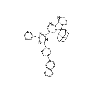 c1ccc(-c2nc(-c3ccc(-c4ccc5ccccc5c4)cc3)nc(-c3cnc4c(c3)C3(c5cccnc5-4)C4CC5CC(C4)CC3C5)n2)cc1